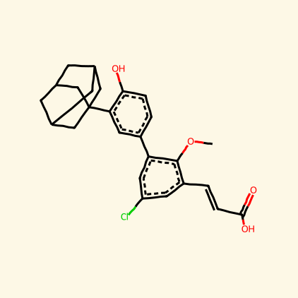 COc1c(C=CC(=O)O)cc(Cl)cc1-c1ccc(O)c(C23CC4CC(CC(C4)C2)C3)c1